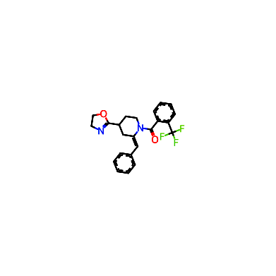 O=C(c1ccccc1C(F)(F)F)N1CCC(C2=NCCO2)CC1=Cc1ccccc1